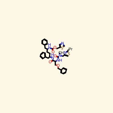 CC(C)c1nc(CN(C)C(=O)NC(COCc2ccccc2)C(=O)NC(CCC(Cc2ccccc2)NC(=O)OCc2cncs2)Cc2ccccc2)cs1